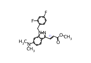 COC(=O)/C=C/c1nn(Cc2ccc(F)cc2F)c2cc(N(C)C)ccc12